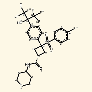 O=C(NC1CCOCC1)[C@H]1C[C@@](c2ccc(C(O)(C(F)(F)F)C(F)(F)F)cc2)(S(=O)(=O)c2ccc(F)cc2)C1